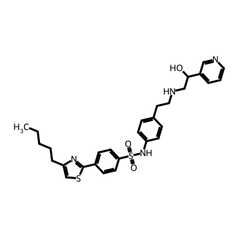 CCCCCc1csc(-c2ccc(S(=O)(=O)Nc3ccc(CCNCC(O)c4cccnc4)cc3)cc2)n1